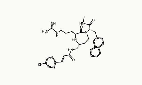 CNC(=O)[C@H](Cc1ccc2ccccc2c1)N1CC[C@H](CNC(=O)/C=C/c2ccc(Cl)cc2)N[C@@H](CCCNC(=N)N)C1=O